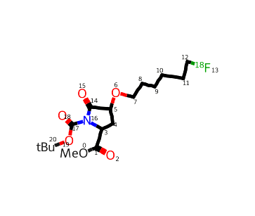 COC(=O)C1CC(OCCCCCC[18F])C(=O)N1C(=O)OC(C)(C)C